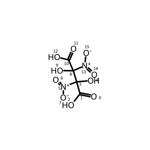 O=C(O)C(O)([N+](=O)[O-])C(O)(C(=O)O)[N+](=O)[O-]